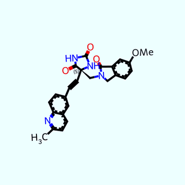 COc1ccc2c(c1)C(=O)N(C[C@]1(C#Cc3ccc4nc(C)ccc4c3)NC(=O)NC1=O)C2